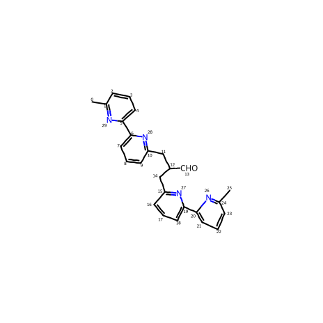 Cc1cccc(-c2cccc(CC(C=O)Cc3cccc(-c4cccc(C)n4)n3)n2)n1